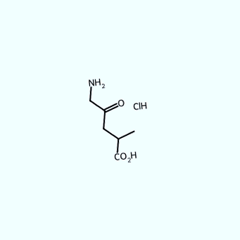 CC(CC(=O)CN)C(=O)O.Cl